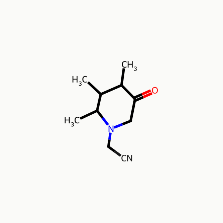 CC1C(=O)CN(CC#N)C(C)C1C